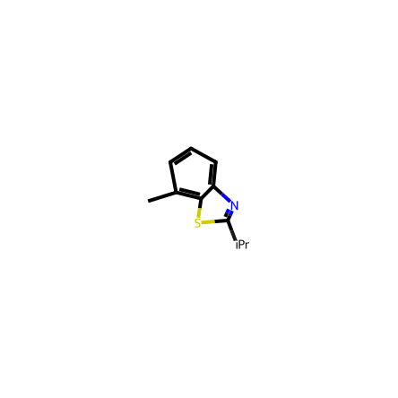 Cc1cccc2nc(C(C)C)sc12